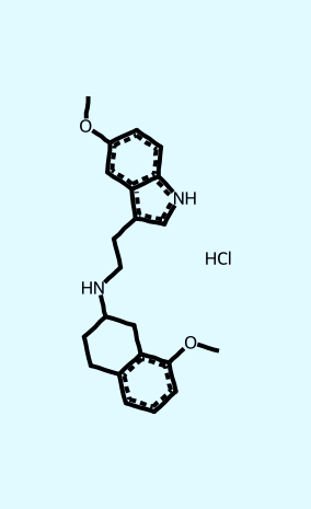 COc1ccc2[nH]cc(CCNC3CCc4cccc(OC)c4C3)c2c1.Cl